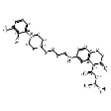 CC(Cl)OC(=O)N1C(=O)CCc2ccc(OCCCCN3CCN(c4cccc(Cl)c4Cl)CC3)cc21